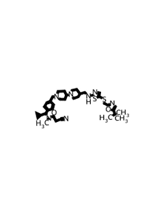 CN(C(=O)CC#N)C(c1ccc(CN2CCC(N3CCC(CNc4ncc(SCc5ncc(C(C)(C)C)o5)s4)CC3)CC2)cc1)C1CC1